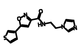 O=C(NCCn1ccnc1)c1cc(-c2ccsc2)on1